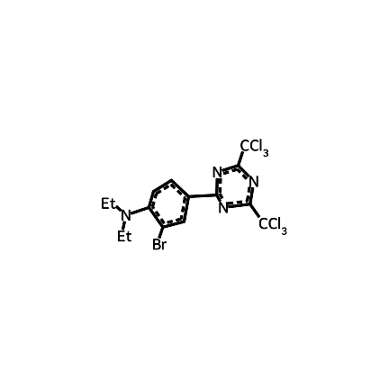 CCN(CC)c1ccc(-c2nc(C(Cl)(Cl)Cl)nc(C(Cl)(Cl)Cl)n2)cc1Br